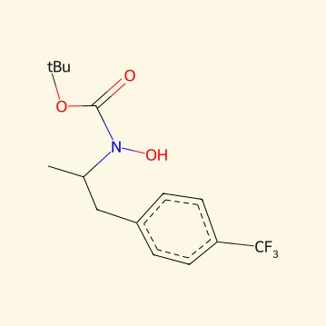 CC(Cc1ccc(C(F)(F)F)cc1)N(O)C(=O)OC(C)(C)C